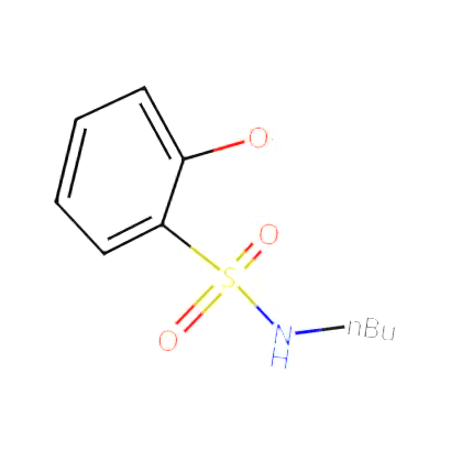 CCCCNS(=O)(=O)c1ccccc1[O]